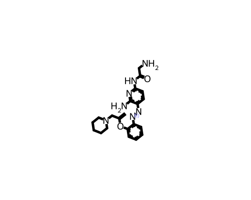 C=C(CN1CCCCC1)Oc1ccccc1/N=N/c1ccc(NC(=O)CN)nc1N